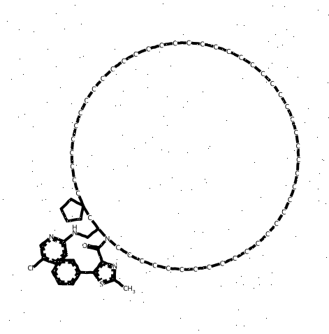 Cc1nc(C(=O)N2CCCCCCCCCCCCCCCCCCCCCCCCCCCCCCCCCCCCCCCCCCCCCCCCC3(CCCC3)CC2CNc2ccc(Cl)cn2)c(-c2ccccc2)s1